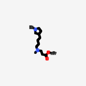 CCCOC(=O)CCN(C)CCCCC1CCN(CC)C1